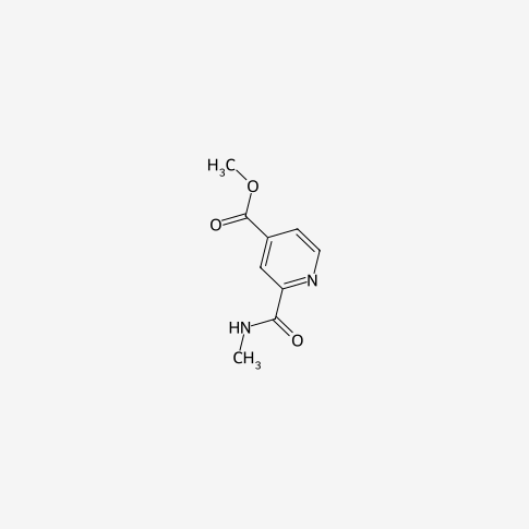 CNC(=O)c1cc(C(=O)OC)ccn1